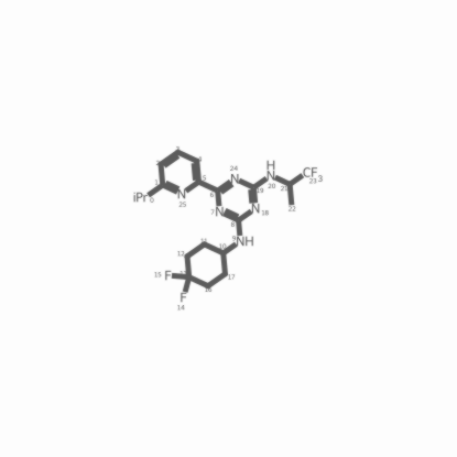 CC(C)c1cccc(-c2nc(NC3CCC(F)(F)CC3)nc(NC(C)C(F)(F)F)n2)n1